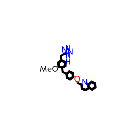 COc1cc(Cc2nnn[nH]2)ccc1Cc1ccc(OCc2ccc3ccccc3n2)cc1